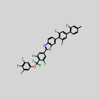 Cc1ccc(-c2cc(F)c(-c3ccc4nc(-c5cc(F)c(C(F)(F)Oc6cc(F)c(F)c(F)c6)c(F)c5)sc4c3)c(F)c2)c(F)c1